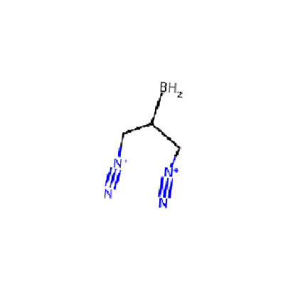 BC(C[N+]#N)C[N+]#N